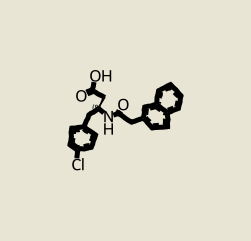 O=C(O)C[C@H](Cc1ccc(Cl)cc1)NC(=O)Cc1ccc2ccccc2c1